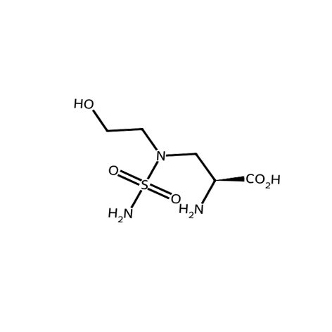 N[C@@H](CN(CCO)S(N)(=O)=O)C(=O)O